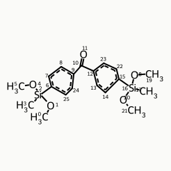 CO[Si](C)(OC)c1ccc(C(=O)c2ccc([Si](C)(OC)OC)cc2)cc1